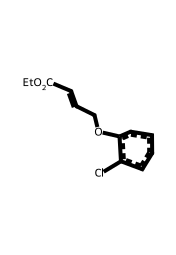 CCOC(=O)C=CCOc1ccccc1Cl